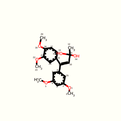 COc1cc(OC)cc(C(=CC(C)(O)O)c2ccc(OC)c(OC)c2)c1